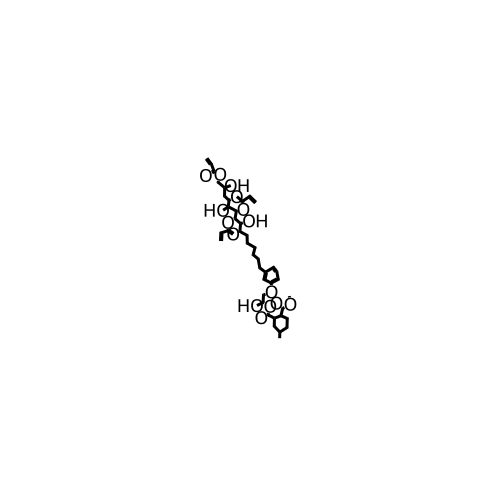 C=CC(=O)OCC(O)CC(OC(=O)C=C)C(O)CC(OC(=O)C=C)C(O)CCCCCCCc1cccc(OCC(O)OC(=O)C2CC(C)CCC2C(=O)OC)c1